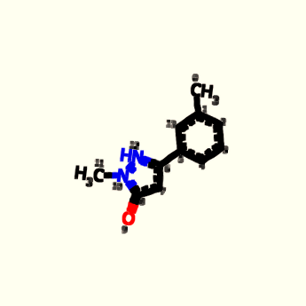 Cc1cccc(-c2cc(=O)n(C)[nH]2)c1